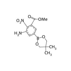 COC(=O)c1cc(B2OCC(C)(C)CO2)cc(N)c1[N+](=O)[O-]